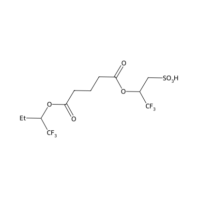 CCC(OC(=O)CCCC(=O)OC(CS(=O)(=O)O)C(F)(F)F)C(F)(F)F